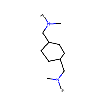 CC(C)N(C)CC1CCC(CN(C)C(C)C)CC1